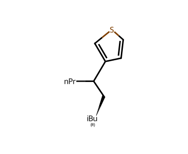 CCCC(C[C@H](C)CC)c1ccsc1